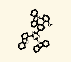 COc1cccc(-n2c3ccccc3c3ccccc32)c1-c1ccc(-c2nc(-c3cccc4c3oc3ccccc34)nc(-n3c4ccccc4c4ccccc43)n2)cc1